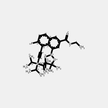 CCOC(=O)c1cc(B2OC(C)(C)C(C)(C)O2)c2c(C#C[Si](C(C)C)(C(C)C)C(C)C)c(F)ccc2c1